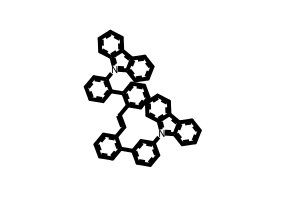 C(=C\c1ccccc1-c1ccccc1-n1c2ccccc2c2ccccc21)/c1ccccc1-c1cccc(-n2c3ccccc3c3ccccc32)c1